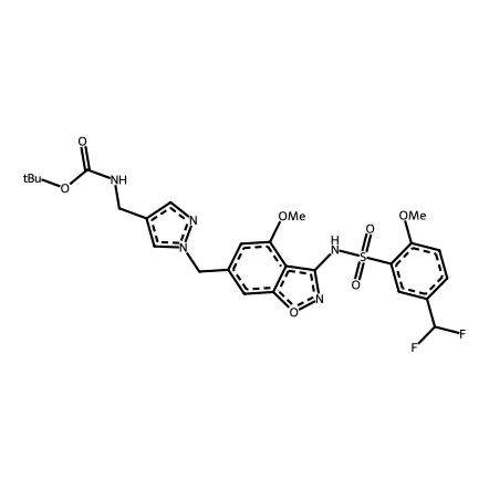 COc1ccc(C(F)F)cc1S(=O)(=O)Nc1noc2cc(Cn3cc(CNC(=O)OC(C)(C)C)cn3)cc(OC)c12